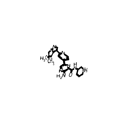 CC1(C)Cc2c(-c3cc(-c4cnc(N)c(C(=O)NC5CCCNC5)n4)ccn3)cnn2C1